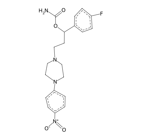 NC(=O)OC(CCN1CCN(c2ccc([N+](=O)[O-])cc2)CC1)c1ccc(F)cc1